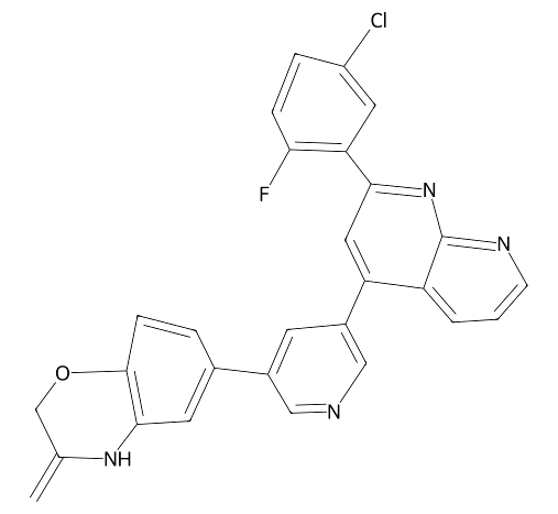 C=C1COc2ccc(-c3cncc(-c4cc(-c5cc(Cl)ccc5F)nc5ncccc45)c3)cc2N1